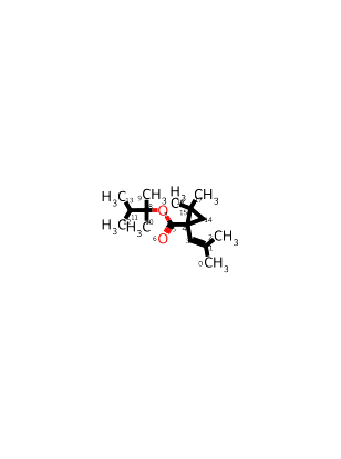 CC(C)=CC1(C(=O)OC(C)(C)C(C)C)CC1(C)C